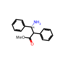 COC(=O)C(c1ccccc1)[C@@H](N)c1ccccc1